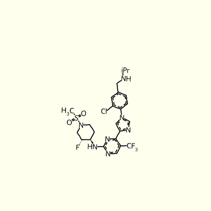 CC(C)NCc1ccc(-n2cnc(-c3nc(N[C@@H]4CCN(S(C)(=O)=O)C[C@H]4F)ncc3C(F)(F)F)c2)c(Cl)c1